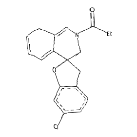 CCC(=O)N1C=C2CC=CC=C2C2(Cc3ccc(Cl)cc3O2)C1